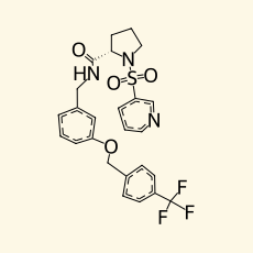 O=C(NCc1cccc(OCc2ccc(C(F)(F)F)cc2)c1)[C@@H]1CCCN1S(=O)(=O)c1cccnc1